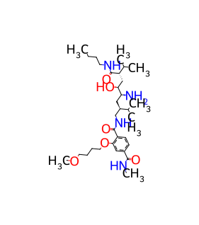 CCCCNC(=O)[C@@H](C[C@H](O)[C@@H](N)C[C@H](CNC(=O)c1ccc(C(=O)NC)cc1OCCCCOC)C(C)C)C(C)C